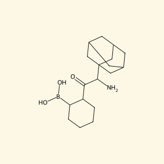 NC(C(=O)C1CCCCC1B(O)O)C12CC3CC(CC(C3)C1)C2